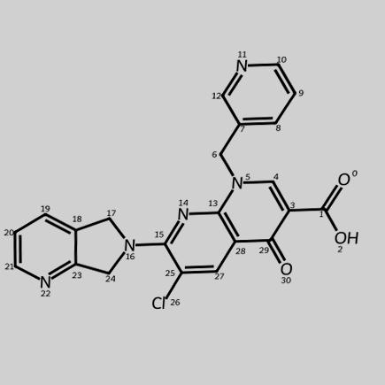 O=C(O)c1cn(Cc2cccnc2)c2nc(N3Cc4cccnc4C3)c(Cl)cc2c1=O